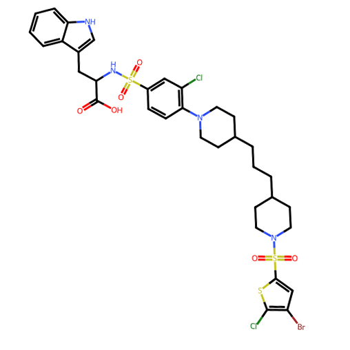 O=C(O)C(Cc1c[nH]c2ccccc12)NS(=O)(=O)c1ccc(N2CCC(CCCC3CCN(S(=O)(=O)c4cc(Br)c(Cl)s4)CC3)CC2)c(Cl)c1